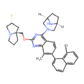 CCc1cccc2cccc(-c3ccc4c(N5C[C@H]6CC[C@@H](C5)N6)nc(OC[C@@]56CCCN5C[C@H](F)C6)nc4c3C)c12